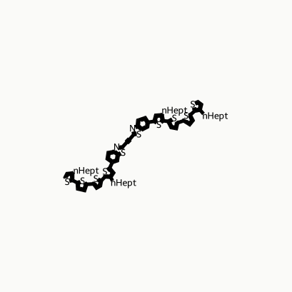 CCCCCCCc1ccsc1-c1ccc(-c2ccc(-c3sc(-c4ccc5nc(C#Cc6nc7ccc(-c8cc(CCCCCCC)c(-c9ccc(-c%10ccc(-c%11sccc%11CCCCCCC)s%10)s9)s8)cc7s6)sc5c4)cc3CCCCCCC)s2)s1